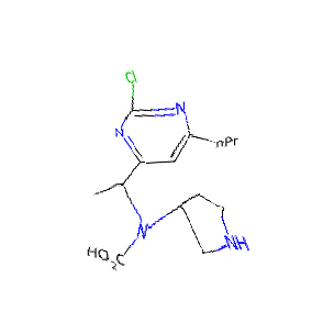 CCCc1cc(C(C)N(C(=O)O)C2CCNC2)nc(Cl)n1